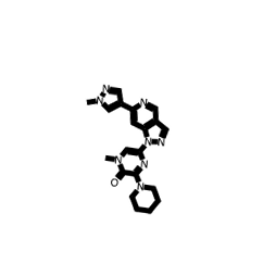 Cn1cc(-c2cc3c(cn2)cnn3-c2cn(C)c(=O)c(N3CCCCC3)n2)cn1